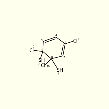 SC1(Cl)C=CC(Cl)=CC1(S)Cl